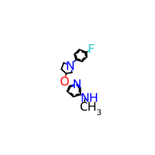 CNc1ccc(OC2CCN(c3ccc(F)cc3)C2)nc1